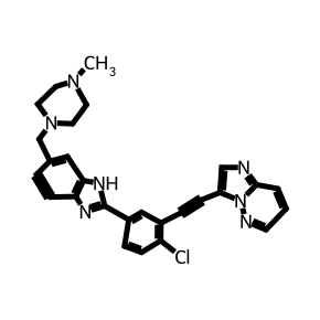 CN1CCN(Cc2c#cc3nc(-c4ccc(Cl)c(C#Cc5cnc6cccnn56)c4)[nH]c3c2)CC1